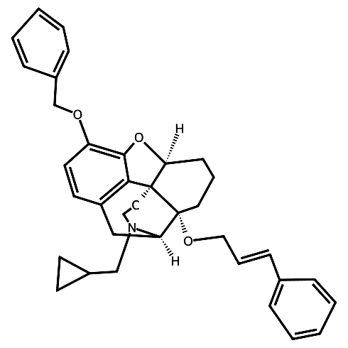 C(=C\c1ccccc1)/CO[C@@]12CCC[C@@H]3Oc4c(OCc5ccccc5)ccc5c4[C@@]31CCN(CC1CC1)[C@@H]2C5